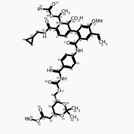 C=Cc1cc(C(=O)Nc2ccc(C(=N)NC(=O)OC[C@@H]3C[C@H](CC(=O)OC(C)(C)C)OC(C)(C)O3)cc2)c(C2=CC=C(C(=O)NCC3CC3)N(C(C)OC(=O)C(C)C)C2C(=O)O)cc1OC